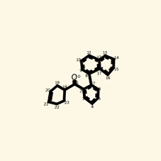 O=C(c1ccccc1-c1cccc2ccccc12)C1CC=CCC1